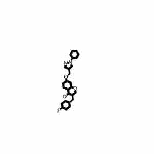 O=c1c(Cc2ccc(F)cc2)coc2cc(OCc3cnn(-c4ccccc4)c3)ccc12